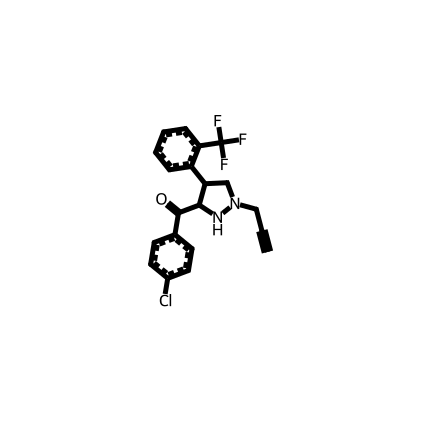 C#CCN1CC(c2ccccc2C(F)(F)F)C(C(=O)c2ccc(Cl)cc2)N1